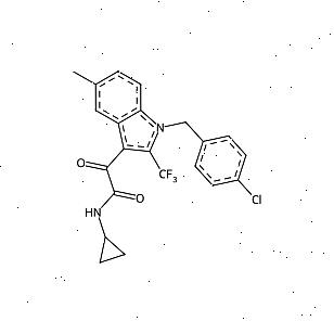 Cc1ccc2c(c1)c(C(=O)C(=O)NC1CC1)c(C(F)(F)F)n2Cc1ccc(Cl)cc1